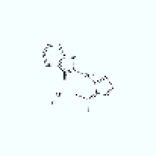 CC(C)=C1C=CC=[C]1[Zr+2][c]1cc2ccccc2[nH]1.[Cl-].[Cl-]